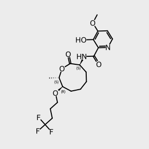 COc1ccnc(C(=O)N[C@H]2CCCC[C@@H](OCCCC(F)(F)F)[C@H](C)OC2=O)c1O